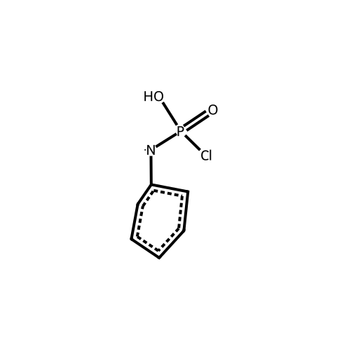 O=P(O)(Cl)[N]c1ccccc1